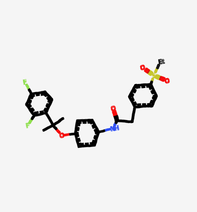 CCS(=O)(=O)c1ccc(CC(=O)Nc2ccc(OC(C)(C)c3ccc(F)cc3F)cc2)cc1